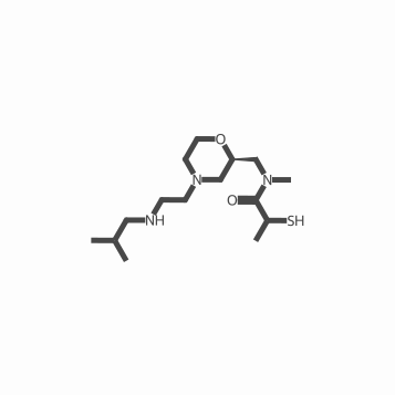 CC(C)CNCCN1CCO[C@@H](CN(C)C(=O)C(C)S)C1